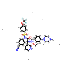 CCOc1ncccc1C1(NCc2ccc(N3CCN(C)CC3)cc2)C(=O)N(S(=O)(=O)c2ccc(OC(F)(F)F)cc2)c2ccc(C#N)cc21